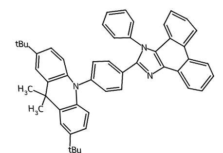 CC(C)(C)c1ccc2c(c1)C(C)(C)c1cc(C(C)(C)C)ccc1N2c1ccc(-c2nc3c4ccccc4c4ccccc4c3n2-c2ccccc2)cc1